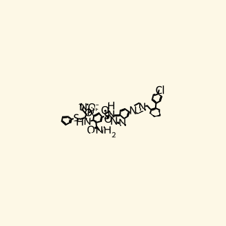 CN(C)CCC(CSc1ccccc1)Nc1c(C(N)=O)cc(S(=O)(=O)Nc2ncnc3cc(N4CCN(CC5=C(c6ccc(Cl)cc6)CCCC5)CC4)ccc23)cc1[N+](=O)[O-]